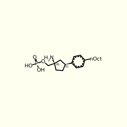 CCCCCCCCc1ccc([C@H]2CC[C@](N)(COP(=O)(O)O)C2)cc1